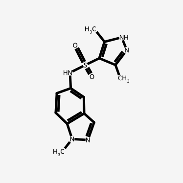 Cc1n[nH]c(C)c1S(=O)(=O)Nc1ccc2c(cnn2C)c1